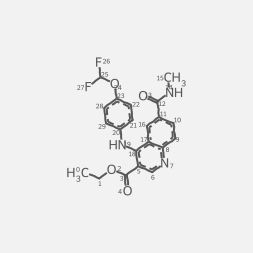 CCOC(=O)c1cnc2ccc(C(=O)NC)cc2c1Nc1ccc(OC(F)F)cc1